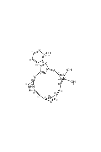 Oc1c(O)c2cc3nc(cc4ccc(cc5nc(cc1[nH]2)C=C5)[nH]4)C=C3.Oc1ccccc1